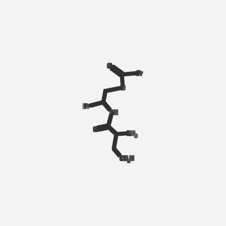 CC(C)C(=O)OCC(NC(=O)C(N)CC(=O)O)C(C)C